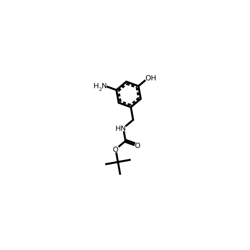 CC(C)(C)OC(=O)NCc1cc(N)cc(O)c1